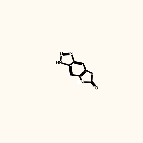 O=c1[nH]c2cc3[nH]nnc3cc2s1